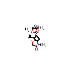 CN1C(=O)COc2c1ccc(B1OC(C)(C)C(C)(C)O1)c2C1CC1